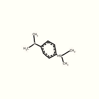 CN(C)c1ccc([SiH](C)C)cc1